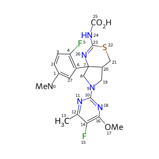 CNc1ccc(F)c(C23CN(c4nc(C)c(F)c(OC)n4)CC2CSC(NC(=O)O)=N3)c1